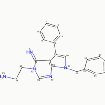 N=c1c2c(-c3ccccc3)cn(Cc3ccccc3)c2ncn1CCN